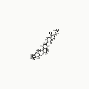 O=C(NC1COC1)c1ccc(-c2ccc3c(Nc4ccc5scnc5c4)ccnc3c2)cc1